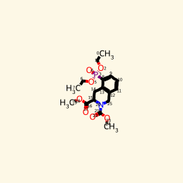 CCOP(=O)(OCC)c1cccc2c1CC(C(=O)OC)N(C(=O)OC)C2